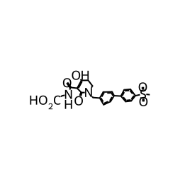 CS(=O)(=O)c1ccc(-c2ccc(CN3CCC(O)=C(C(=O)NCC(=O)O)C3=O)cc2)cc1